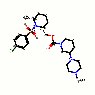 CCOC(=O)N1CCN(C2CCCN(C(=O)OC[C@H]3CCC[C@@H](C)N3S(=O)(=O)c3ccc(Cl)cc3)C2)CC1